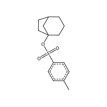 Cc1ccc(S(=O)(=O)OC23CCCC(CC2)C3)cc1